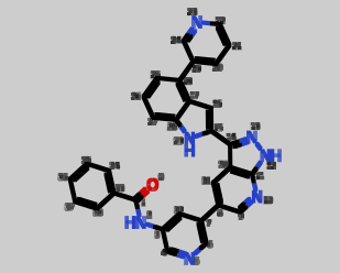 O=C(Nc1cncc(-c2cnc3[nH]nc(-c4cc5c(-c6cccnc6)cccc5[nH]4)c3c2)c1)c1ccccc1